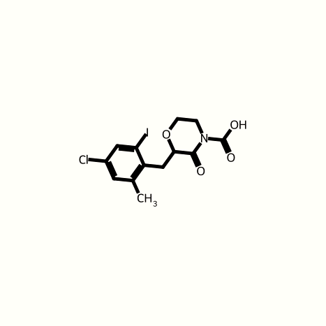 Cc1cc(Cl)cc(I)c1CC1OCCN(C(=O)O)C1=O